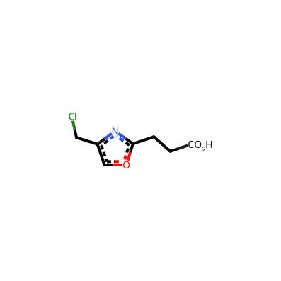 O=C(O)CCc1nc(CCl)co1